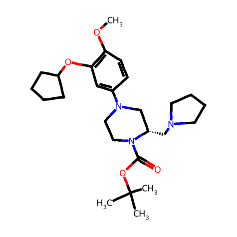 COc1ccc(N2CCN(C(=O)OC(C)(C)C)[C@@H](CN3CCCC3)C2)cc1OC1CCCC1